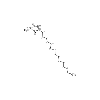 CCCCCCCCCCCCCCCc1nnc(N)s1